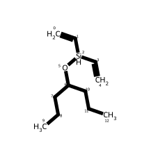 C=C[SiH](C=C)OC(CCC)CCC